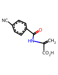 C=C(NC(=O)c1ccc(C#N)cc1)C(=O)O